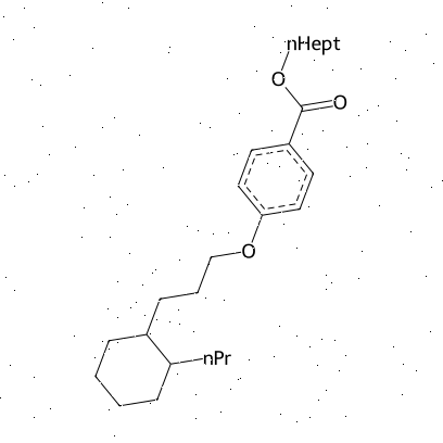 CCCCCCCOC(=O)c1ccc(OCCCC2CCCCC2CCC)cc1